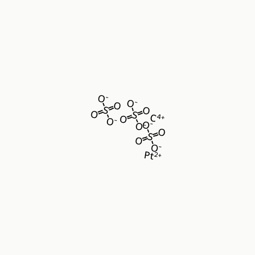 O=S(=O)([O-])[O-].O=S(=O)([O-])[O-].O=S(=O)([O-])[O-].[C+4].[Pt+2]